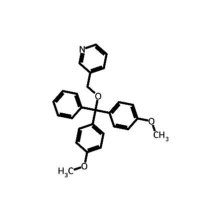 COc1ccc(C(OCc2cccnc2)(c2ccccc2)c2ccc(OC)cc2)cc1